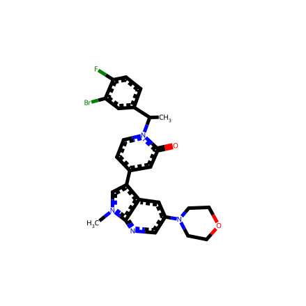 CC(c1ccc(F)c(Br)c1)n1ccc(-c2cn(C)c3ncc(N4CCOCC4)cc23)cc1=O